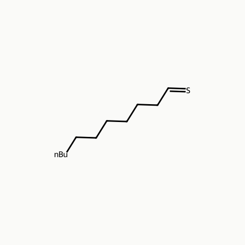 CCCCCCCCCCC=S